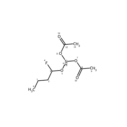 CCCC(F)O[SiH](OC(C)=O)OC(C)=O